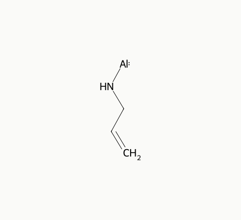 C=CC[NH][Al]